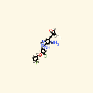 CC1(C#Cc2cc3ncnc(Nc4ccc(OCc5cccc(F)c5)c(Cl)c4)c3cc2N)CCOC1